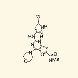 CNC(=O)c1cc2nc(NC3=CC(C4CC4)NN3)nc(N3CCOCC3)c2o1